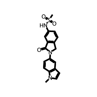 Cn1ccc2cc(N3Cc4ccc(NS(C)(=O)=O)cc4C3=O)ccc21